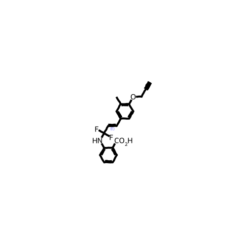 C#CCOc1ccc(/C=C/C(F)(F)Nc2ccccc2C(=O)O)cc1C